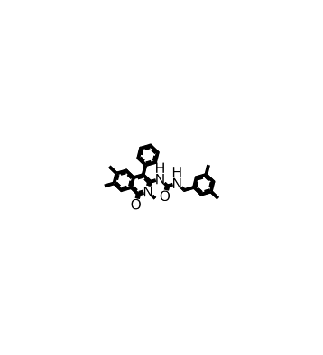 Cc1cc(C)cc(CNC(=O)Nc2c(-c3ccccc3)c3cc(C)c(C)cc3c(=O)n2C)c1